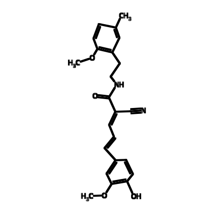 COc1cc(/C=C/C=C(\C#N)C(=O)NCCc2cc(C)ccc2OC)ccc1O